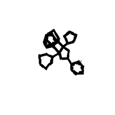 [c]1ccccc1C1CC(c2ccccc2)(C2CCCCC2)C(C2CCCCC2)(C2CCCC2)C1